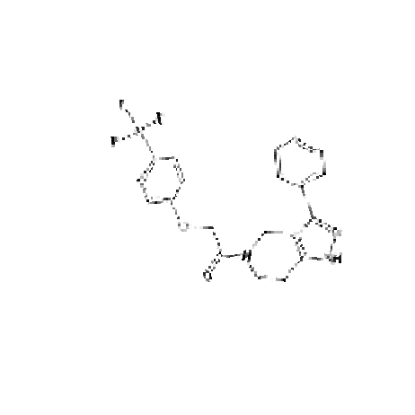 O=C(COc1ccc(C(F)(F)F)cc1)N1CCc2[nH]nc(-c3ccccc3)c2C1